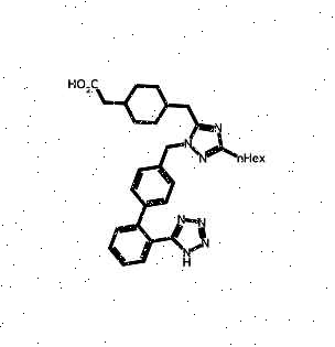 CCCCCCc1nc(CC2CCC(CC(=O)O)CC2)n(Cc2ccc(-c3ccccc3-c3nnn[nH]3)cc2)n1